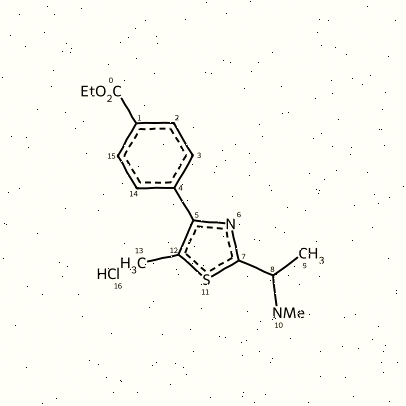 CCOC(=O)c1ccc(-c2nc(C(C)NC)sc2C)cc1.Cl